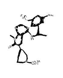 CC(=O)Nc1cc(C(C)Nc2ncnc3c2cc(C2=CCCN(C(=O)O)C2)c(=O)n3C)cc(C(F)(F)F)c1